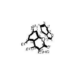 CCc1cc(N)cc2oc(=O)c(C=O)c(CC)c12.c1ccc2occc2c1